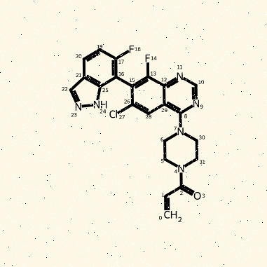 C=CC(=O)N1CCN(c2ncnc3c(F)c(-c4c(F)ccc5cn[nH]c45)c(Cl)cc23)CC1